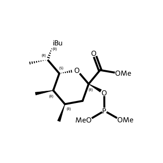 CC[C@@H](C)[C@@H](C)[C@@H]1O[C@](OP(OC)OC)(C(=O)OC)C[C@@H](C)[C@H]1C